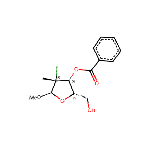 COC1O[C@@H](CO)[C@@H](OC(=O)c2ccccc2)[C@@]1(C)F